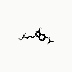 Cc1nn(CCCN(C)C)c2ccc(OC(F)F)cc12